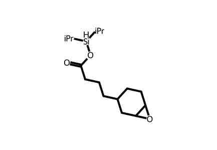 CC(C)[SiH](OC(=O)CCCC1CCC2OC2C1)C(C)C